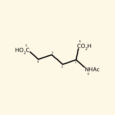 CC(=O)NC(CCCC(=O)O)C(=O)O